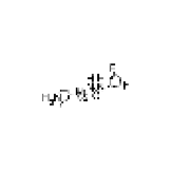 C=C/C=C(\C=C/N)C1CSC(NC(=O)NCc2cc(F)cc(F)c2)=N1